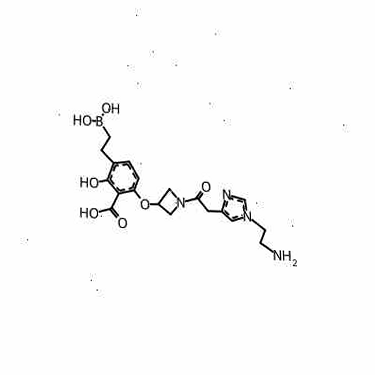 NCCn1cnc(CC(=O)N2CC(Oc3ccc(CCB(O)O)c(O)c3C(=O)O)C2)c1